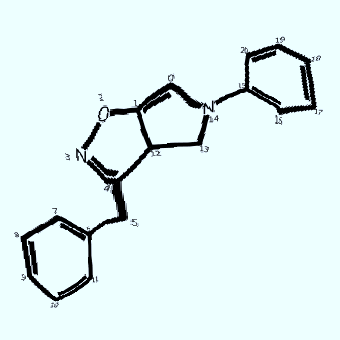 C1=C2ON=C(Cc3ccccc3)C2CN1c1ccccc1